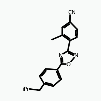 Cc1cc(C#N)ccc1-c1noc(-c2ccc(CC(C)C)cc2)n1